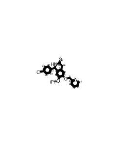 CC(C)Oc1cc2c(cc1OCc1ccccn1)CC(=O)NC2c1ccc(Cl)cc1